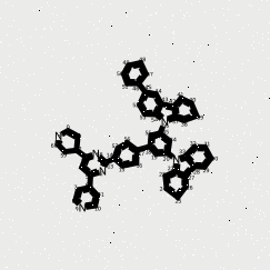 C1=CC(c2cc(-c3ccncc3)nc(-c3ccc(-c4cc(-n5c6ccccc6c6ccccc65)cc(-n5c6ccccc6c6cc(-c7ccccc7)ccc65)c4)cc3)n2)CC=N1